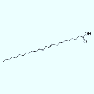 CCCCCCCCCCCC=CCC=CCCCCCCCCC(=O)O